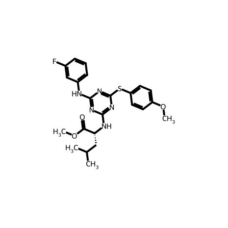 COC(=O)[C@@H](CC(C)C)Nc1nc(Nc2cccc(F)c2)nc(Sc2ccc(OC)cc2)n1